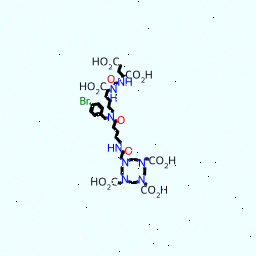 O=C(O)CC[C@H](NC(=O)N[C@@H](CCCCN(Cc1ccc(Br)cc1)C(=O)CCCCNC(=O)CN1CCN(CC(=O)O)CCN(CC(=O)O)CCN(CC(=O)O)CC1)C(=O)O)C(=O)O